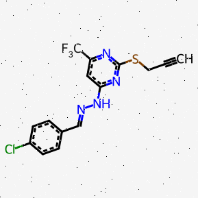 C#CCSc1nc(N/N=C/c2ccc(Cl)cc2)cc(C(F)(F)F)n1